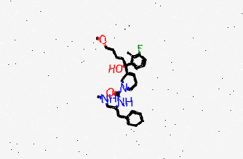 CNCC(CC1CCCCC1)NC(=O)N1CCCC(C(O)(CCCCOC)c2cccc(F)c2C)C1